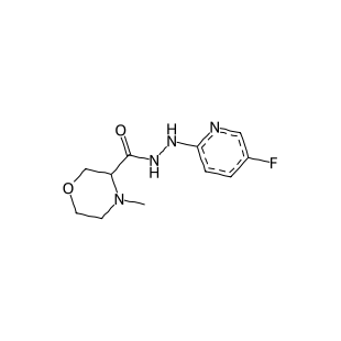 CN1CCOCC1C(=O)NNc1ccc(F)cn1